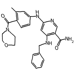 Cc1cc(Nc2cc(NCc3ccccc3)c(C(N)=O)cn2)ccc1C(=O)N1CCOCC1